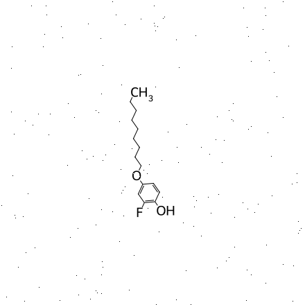 CCCCCCCCCOc1ccc(O)c(F)c1